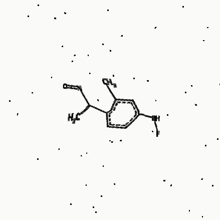 Cc1cc(BF)ccc1C(C)N=O